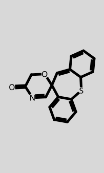 O=C1COC2(C=N1)C=C1C=CC=CC1Sc1ccccc12